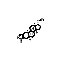 CC(C)O[C@H]1CC[C@H]2[C@@H]3CC[C@H]4Cc5[nH]ncc5C[C@]4(C)[C@H]3CC[C@]12C